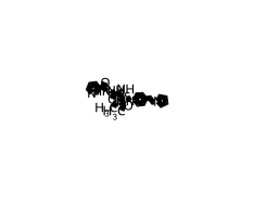 CCN(C(C)=O)C(SNc1ccc(CCN2CCCC2)cc1)[C@H](N)C(=O)NNC(=O)c1cccnc1